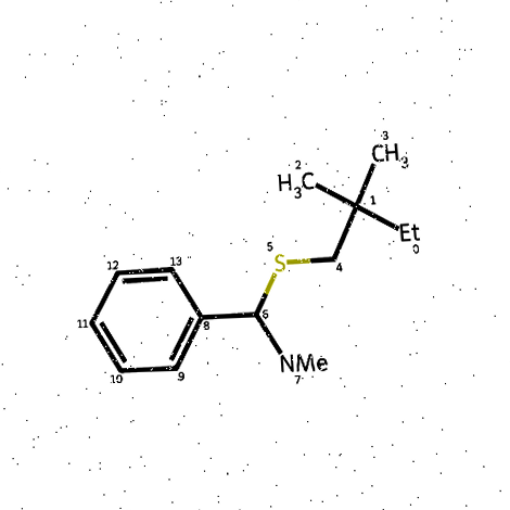 CCC(C)(C)CSC(NC)c1ccccc1